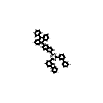 c1ccc(-c2cccc(-c3nc(-c4ccc5cc(-c6c7ccccc7c(-c7ccccc7)c7ccccc67)ccc5c4)nc(-c4cccc5c4sc4ccccc45)n3)c2)cc1